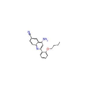 CCCCOc1ccccc1-c1cc(N)c2cc(C#N)ccc2n1